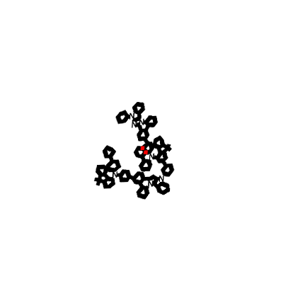 CC1(C)c2ccccc2-c2c(N(c3ccc(-c4ccccc4)cc3)c3ccc(-c4ccc5c(c4)c4ccccc4n4c5cc5c4c4ccccc4n5-c4cccc(-c5cc(N(c6ccc(-c7ccc8c(c7)c7ccccc7n7c8nc8c7c7ccccc7n8-c7ccccc7)cc6)c6ccccc6-c6ccccc6)c6c(c5)C(C)(C)c5ccccc5-6)c4)cc3)cccc21